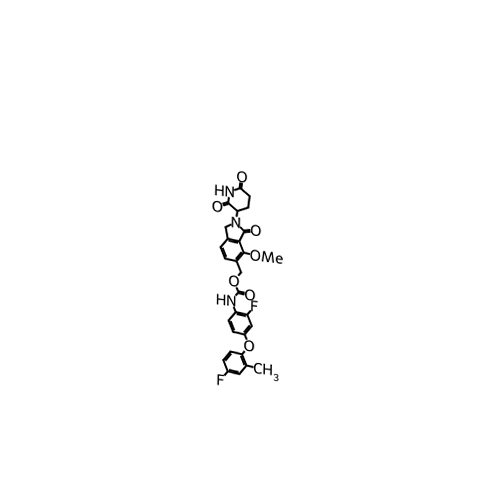 COc1c(COC(=O)Nc2ccc(Oc3ccc(F)cc3C)cc2F)ccc2c1C(=O)N(C1CCC(=O)NC1=O)C2